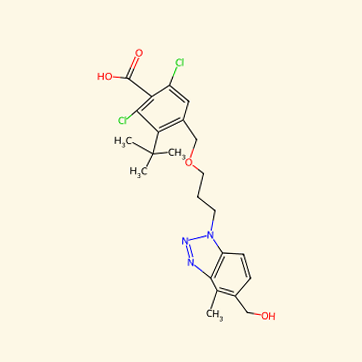 Cc1c(CO)ccc2c1nnn2CCCOCc1cc(Cl)c(C(=O)O)c(Cl)c1C(C)(C)C